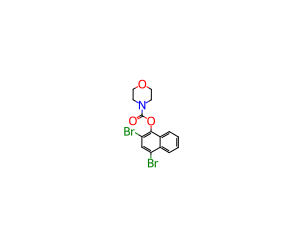 O=C(Oc1c(Br)cc(Br)c2ccccc12)N1CCOCC1